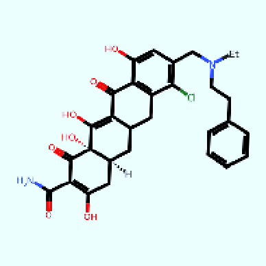 CCN(CCc1ccccc1)Cc1cc(O)c2c(c1Cl)CC1C[C@H]3CC(O)=C(C(N)=O)C(=O)[C@@]3(O)C(O)=C1C2=O